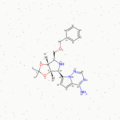 CC1(C)O[C@@H]2[C@H](O1)[C@@H](COCc1ccccc1)N[C@H]2c1ccc2c(N)ncnn12